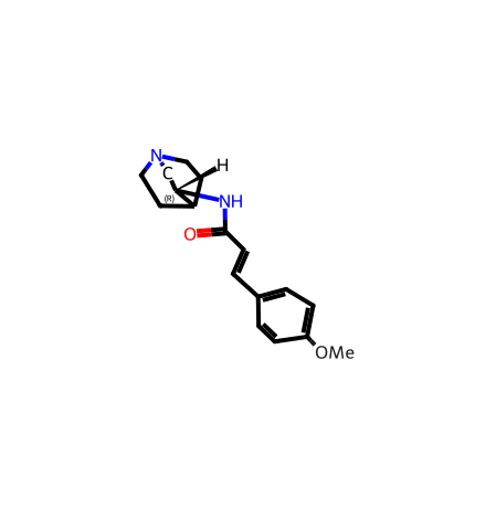 COc1ccc(C=CC(=O)N[C@H]2CN3CCC2CC3)cc1